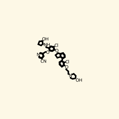 N#Cc1cncc(COc2cc(O[C@H]3CCc4c(-c5cccc(OCCCN6CCC(O)CC6)c5Cl)cccc43)c(Cl)cc2CN[C@@H]2CCC[C@H]2O)c1